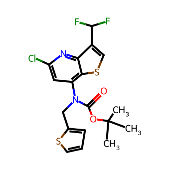 CC(C)(C)OC(=O)N(Cc1cccs1)c1cc(Cl)nc2c(C(F)F)csc12